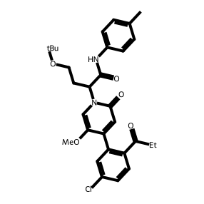 CCC(=O)c1ccc(Cl)cc1-c1cc(=O)n(C(CCOC(C)(C)C)C(=O)Nc2ccc(C)cc2)cc1OC